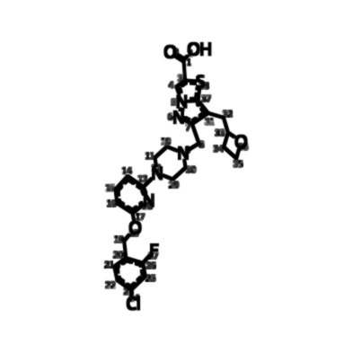 O=C(O)c1cn2nc(CN3CCN(c4cccc(OCc5ccc(Cl)cc5F)n4)CC3)c(CC3CCO3)c2s1